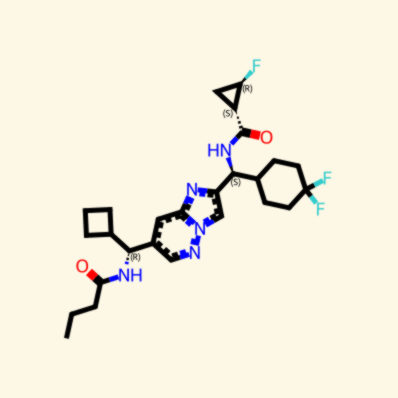 CCCC(=O)N[C@@H](c1cnn2cc([C@@H](NC(=O)[C@@H]3C[C@H]3F)C3CCC(F)(F)CC3)nc2c1)C1CCC1